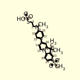 CN(CCSS(=O)(=O)O)c1ccc(-c2cc[n+]3c(c2)C(C)(C)c2cc(S(C)(=O)=O)ccc2-3)cc1